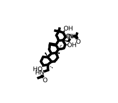 CC(=O)NC[C@@]12C(CC(C)(C)[C@@H](O)[C@@H]1O)C1=CCC3[C@@]4(C)CC[C@H](O)[C@](C)(CNC(C)=O)C4CC[C@@]3(C)[C@]1(C)C[C@H]2O